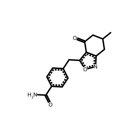 CC1CC(=O)c2c(noc2Cc2ccc(C(N)=O)cc2)C1